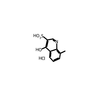 Cc1cccc2c(O)c(S(=O)(=O)O)cnc12.Cl